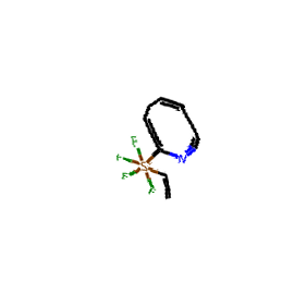 C=CS(F)(F)(F)(F)c1ccccn1